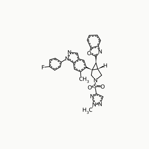 Cc1cc2c(cnn2-c2ccc(F)cc2)cc1[C@]12CN(S(=O)(=O)c3cnn(C)n3)C[C@H]1[C@@H]2c1nc2ccccc2o1